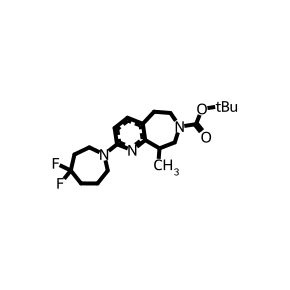 CC1CN(C(=O)OC(C)(C)C)CCc2ccc(N3CCCC(F)(F)CC3)nc21